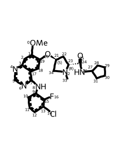 COc1cc2ncnc(Nc3cccc(Cl)c3F)c2cc1O[C@H]1C[C@H](C(=O)NC2CCCC2)N(C)C1